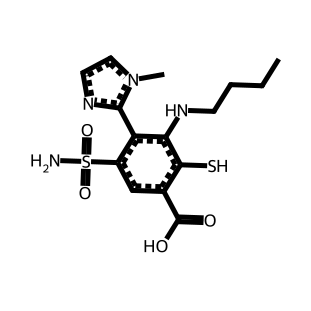 CCCCNc1c(S)c(C(=O)O)cc(S(N)(=O)=O)c1-c1nccn1C